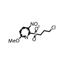 COc1ccc([N+](=O)[O-])c(S(=O)(=O)CCCCl)n1